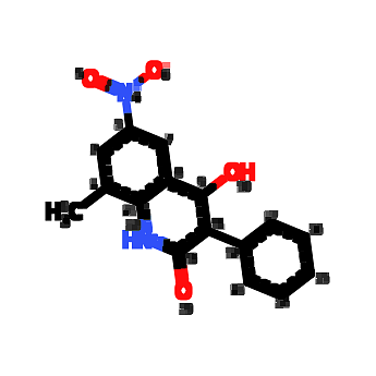 Cc1cc([N+](=O)[O-])cc2c(O)c(-c3ccccc3)c(=O)[nH]c12